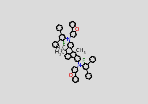 Cc1c2c3c(cccc3c3cc(N(c4ccc5oc6ccccc6c5c4)c4cc(-c5ccccc5)cc(-c5ccccc5)c4F)ccc13)C(C)(C)c1cc(N(c3ccc4oc5ccccc5c4c3)c3cc(-c4ccccc4)cc(-c4ccccc4)c3F)ccc1-2